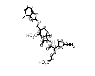 CN1C=CC=C2SC(SCC3=C(C(=O)O)N4C(=O)C(NC(=O)/C(=N\OCC(=O)O)c5csc(N)n5)[C@H]4SC3)N=C21